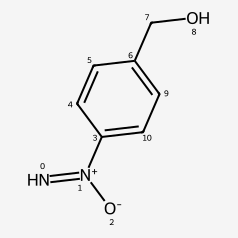 N=[N+]([O-])c1ccc(CO)cc1